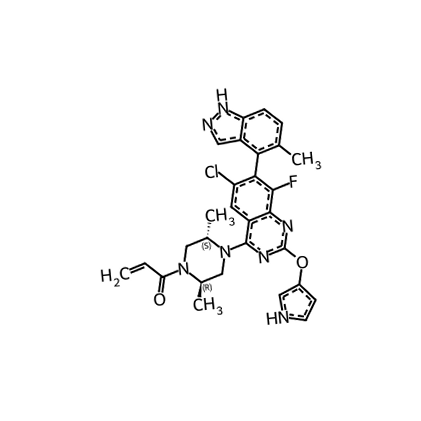 C=CC(=O)N1C[C@H](C)N(c2nc(Oc3cc[nH]c3)nc3c(F)c(-c4c(C)ccc5[nH]ncc45)c(Cl)cc23)C[C@H]1C